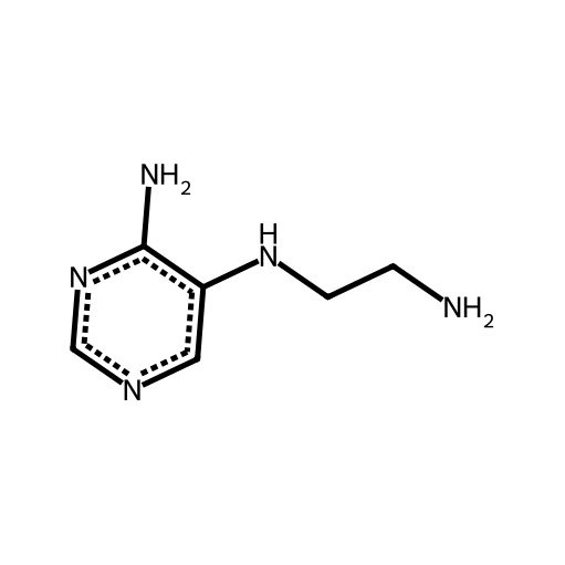 NCCNc1cncnc1N